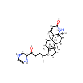 C[C@H](CCC(=O)c1cnccn1)[C@H]1CC[C@H]2[C@@H]3CC[C@H]4NC(=O)C=C[C@]4(C)[C@H]3CC[C@]12C